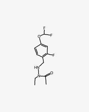 CCN(NCc1ccc(OC(F)F)cc1F)C(C)=O